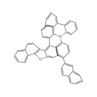 c1ccc(-c2ccccc2N(c2ccc(-c3ccc4ccccc4c3)cc2)c2ccccc2-c2cccc3oc4c5ccccc5ccc4c23)cc1